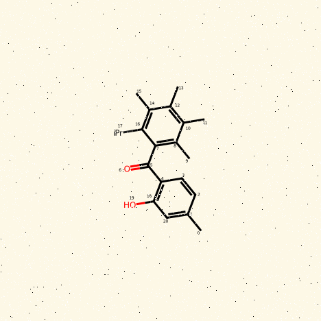 Cc1ccc(C(=O)c2c(C)c(C)c(C)c(C)c2C(C)C)c(O)c1